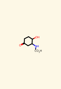 O=C1CCC(O)C(NC(=O)O)C1